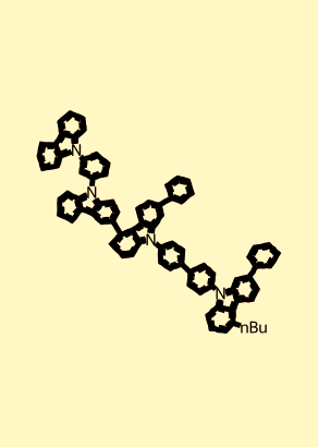 CCCCc1cccc2c1c1ccc(-c3ccccc3)cc1n2-c1ccc(-c2ccc(-n3c4cc(-c5ccccc5)ccc4c4c(-c5ccc6c(c5)c5ccccc5n6-c5cccc(-n6c7ccccc7c7ccccc76)c5)cccc43)cc2)cc1